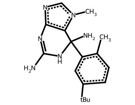 Cc1ccc(C(C)(C)C)cc1C1(N)NC(N)=Nc2ncn(C)c21